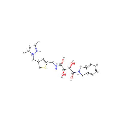 Cc1cc(C)n(CC2C=C(CNC(=O)[C@H](O)[C@@H](O)C(=O)N3Cc4ccccc4C3)SC2)n1